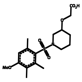 COc1cc(C)c(S(=O)(=O)N2CCCC(OCC(=O)O)C2)c(C)c1C